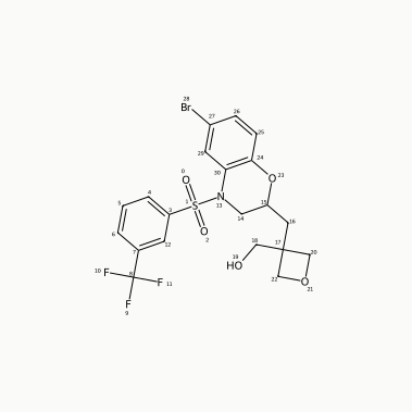 O=S(=O)(c1cccc(C(F)(F)F)c1)N1CC(CC2(CO)COC2)Oc2ccc(Br)cc21